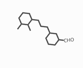 CC1CCCC(CCCC2CCCC(C=O)C2)C1C